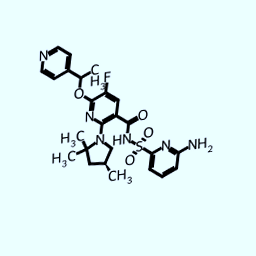 CC(Oc1nc(N2C[C@@H](C)CC2(C)C)c(C(=O)NS(=O)(=O)c2cccc(N)n2)cc1F)c1ccncc1